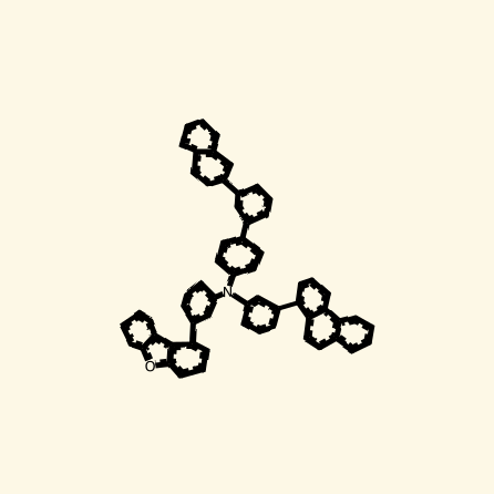 c1cc(-c2ccc(N(c3cccc(-c4cccc5c4ccc4ccccc45)c3)c3cccc(-c4cccc5oc6ccccc6c45)c3)cc2)cc(-c2ccc3ccccc3c2)c1